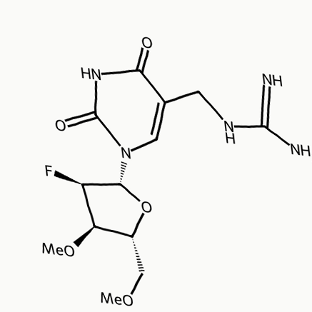 COC[C@H]1O[C@@H](n2cc(CNC(=N)N)c(=O)[nH]c2=O)[C@H](F)[C@@H]1OC